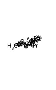 CC(=O)N(Oc1ccc(C(=O)/C=C/C(=O)N2CCN(C)CC2)cc1C(C)C)c1nc2ccccc2s1